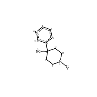 CCN1CCC(C#N)(c2cccnn2)CC1